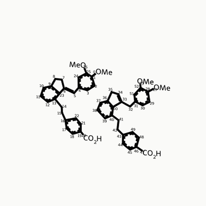 COc1ccc(C=C2CCc3cccc(CCc4ccc(C(=O)O)cc4)c32)cc1OC.COc1ccc(CC2=CCc3cccc(CCc4ccc(C(=O)O)cc4)c32)cc1OC